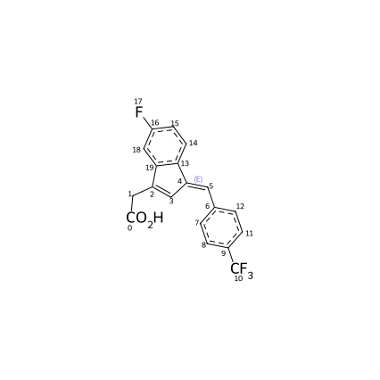 O=C(O)CC1=C/C(=C\c2ccc(C(F)(F)F)cc2)c2ccc(F)cc21